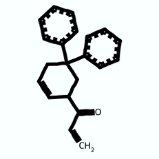 C=CC(=O)C1C=CCC(c2ccccc2)(c2ccccc2)C1